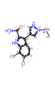 NC(=O)c1[nH]c2c(Cl)c(Cl)ccc2c1-c1cnn(PI)c1